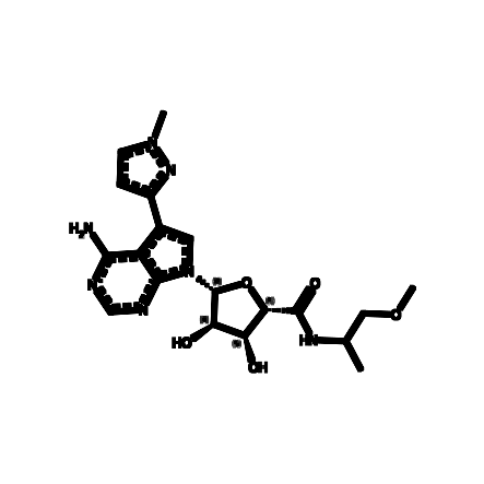 COCC(C)NC(=O)[C@H]1O[C@@H](n2cc(-c3ccn(C)n3)c3c(N)ncnc32)[C@H](O)[C@@H]1O